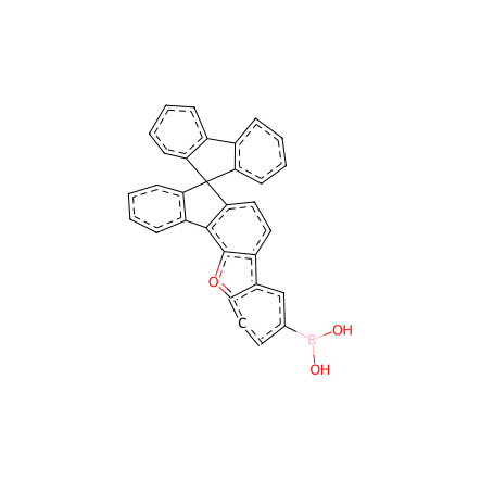 OB(O)c1ccc2oc3c4c(ccc3c2c1)C1(c2ccccc2-c2ccccc21)c1ccccc1-4